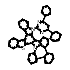 c1ccc(-c2cc(-c3ccccc3)nc(-n3c4ccccc4c4c5c6ccccc6sc5c5c(c6cccc7c6n5-c5ccccc5-c5ccccc5-7)c43)n2)cc1